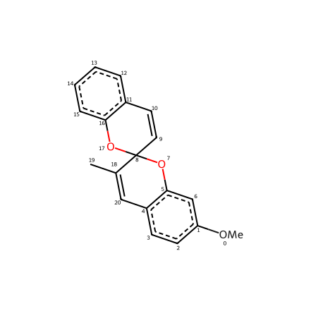 COc1ccc2c(c1)OC1(C=Cc3ccccc3O1)C(C)=C2